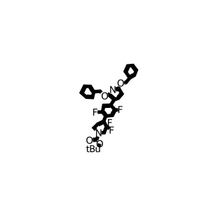 CC(C)(C)OC(=O)N1CC=C(c2cc(F)c(-c3ccc(OCc4ccccc4)nc3OCc3ccccc3)cc2F)C(F)(F)C1